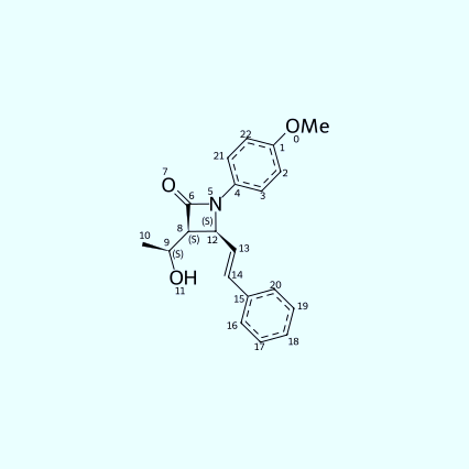 COc1ccc(N2C(=O)[C@H]([C@H](C)O)[C@@H]2C=Cc2ccccc2)cc1